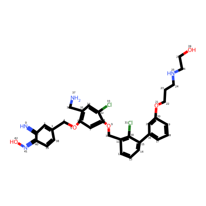 N=C1C=C(COc2cc(OCc3cccc(-c4cccc(OCCCNCCO)c4)c3Cl)c(Cl)cc2CN)C=C/C1=N/O